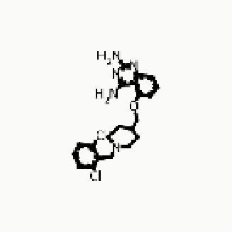 Nc1nc(N)c2c(OCC3CCN(Cc4c(Cl)cccc4Cl)CC3)cccc2n1